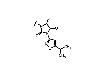 CC(C)c1cc(N2C(=O)N(C)C(O)C2O)no1